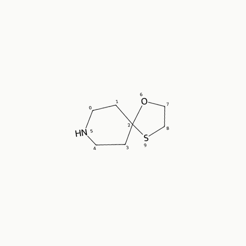 C1CC2(CCN1)OCCS2